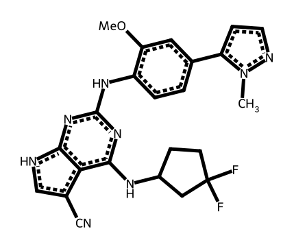 COc1cc(-c2ccnn2C)ccc1Nc1nc(NC2CCC(F)(F)C2)c2c(C#N)c[nH]c2n1